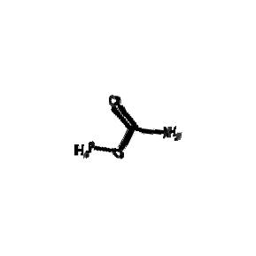 NC(=O)O[PH4]